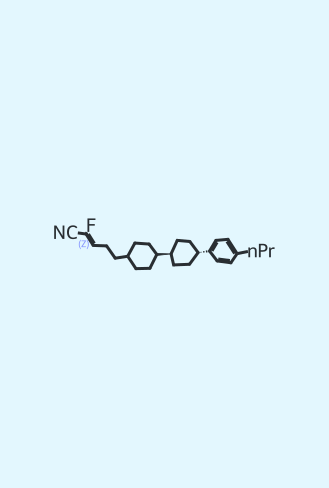 CCCc1ccc([C@H]2CC[C@H](C3CCC(CC/C=C(\F)C#N)CC3)CC2)cc1